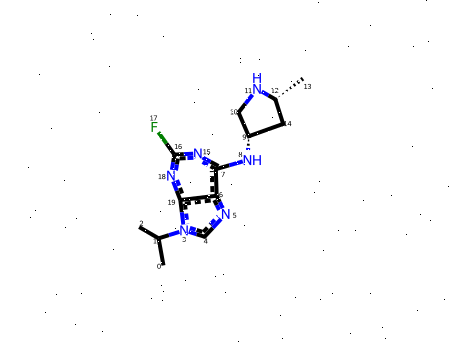 CC(C)n1cnc2c(N[C@@H]3CN[C@H](C)C3)nc(F)nc21